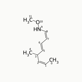 C/C=C\C(C)/C=C/C=C\NOC